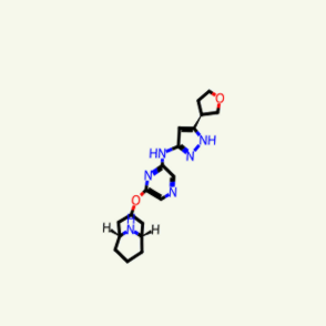 c1ncc(OC2C[C@H]3CCC[C@@H](C2)N3)nc1Nc1cc([C@H]2CCOC2)[nH]n1